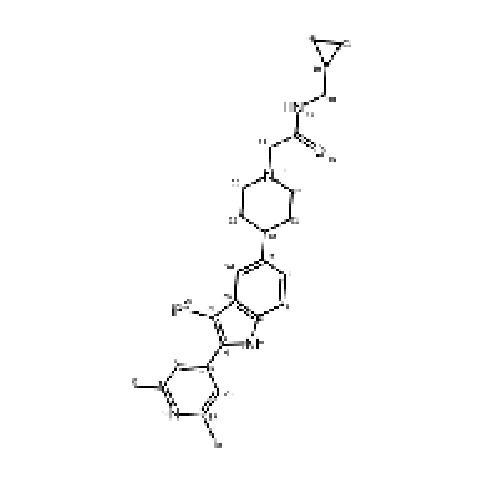 Cc1cc(-c2[nH]c3ccc(C4CCN(CC(=O)NCC5CC5)CC4)cc3c2C(C)C)cc(C)n1